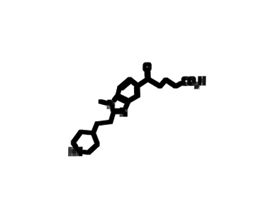 Cn1c(CCC2CCNCC2)nc2cc(C(=O)CCCC(=O)O)ccc21